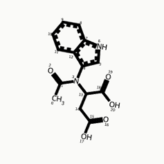 CC(=O)N(c1c[nH]c2ccccc12)C(CC(=O)O)C(=O)O